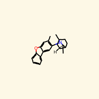 Cc1cc2oc3ccccc3c2cc1N1[C@@H](C)C2CCC1(C)CC2